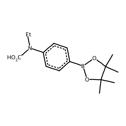 CCN(C(=O)O)c1ccc(B2OC(C)(C)C(C)(C)O2)cc1